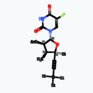 CC[C@@]1(C#C[Si](CC)(CC)CC)O[C@@H](n2cc(F)c(=O)[nH]c2=O)[C@H](OC(C)=O)[C@@H]1C